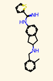 Cc1ccccc1CNC1Cc2ccc(NC(=N)c3cccs3)cc2C1